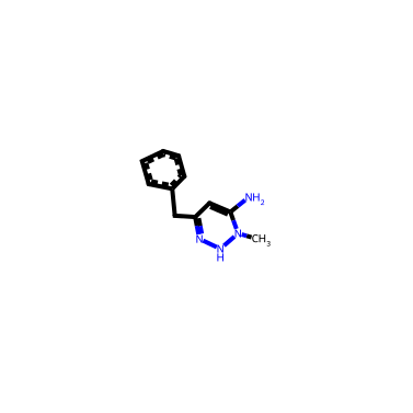 CN1NN=C(Cc2ccccc2)C=C1N